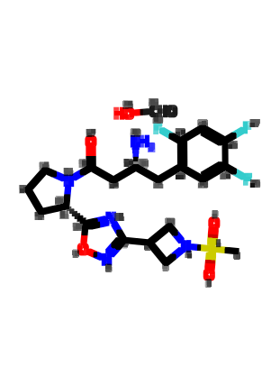 CS(=O)(=O)N1CC(c2noc([C@@H]3CCCN3C(=O)C[C@H](N)Cc3cc(F)c(F)cc3F)n2)C1.O=CO